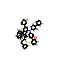 C[C@H]1Sc2ccccc2C=C[C@@]1(C)C1C=C2c3c(N(c4ccc(-c5ccccc5)cc4)c4ccc5c(c4)oc4ccccc45)cc(-c4ccccc4)cc3C3(C4CC5CC(C4)CC3C5)C21C